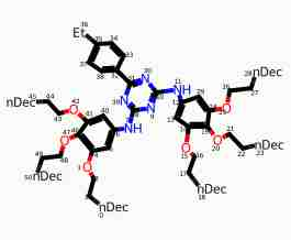 CCCCCCCCCCCCOc1cc(Nc2nc(Nc3cc(OCCCCCCCCCCCC)c(OCCCCCCCCCCCC)c(OCCCCCCCCCCCC)c3)nc(-c3ccc(CC)cc3)n2)cc(OCCCCCCCCCCCC)c1OCCCCCCCCCCCC